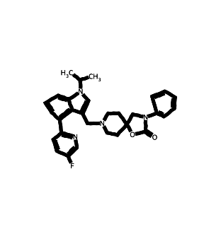 CC(C)n1cc(CN2CCC3(CC2)CN(c2ccccc2)C(=O)O3)c2c(-c3ccc(F)cn3)cccc21